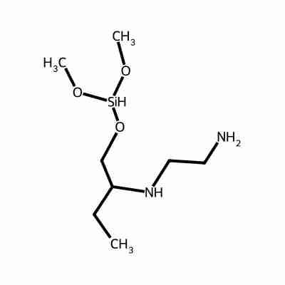 CCC(CO[SiH](OC)OC)NCCN